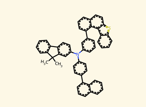 CC1(C)c2ccccc2-c2ccc(N(c3ccc(-c4cccc5ccccc45)cc3)c3cccc(-c4cccc5ccc6sc7ccccc7c6c45)c3)cc21